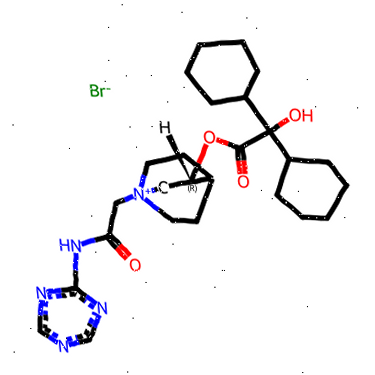 O=C(C[N+]12CCC(CC1)[C@@H](OC(=O)C(O)(C1CCCCC1)C1CCCCC1)C2)Nc1ncncn1.[Br-]